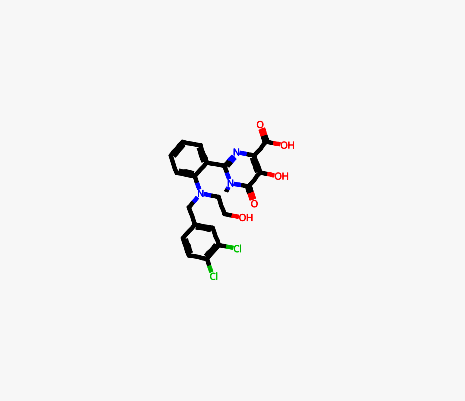 Cn1c(-c2ccccc2N(CCO)Cc2ccc(Cl)c(Cl)c2)nc(C(=O)O)c(O)c1=O